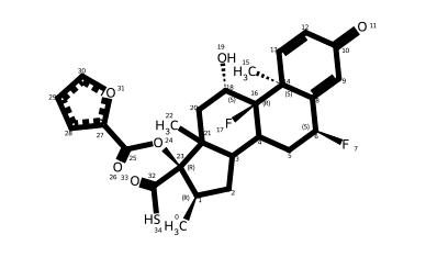 C[C@@H]1CC2C3C[C@H](F)C4=CC(=O)C=C[C@]4(C)[C@@]3(F)[C@@H](O)CC2(C)[C@@]1(OC(=O)c1ccco1)C(=O)S